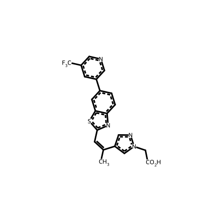 C/C(=C/c1nc2ccc(-c3cncc(C(F)(F)F)c3)cc2s1)c1cnn(CC(=O)O)c1